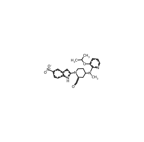 CC(C)Oc1cccnc1N(C)C1CCN(c2cc3cc([N+](=O)[O-])ccc3[nH]2)C(=C=O)C1